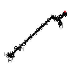 Cc1cc(C2CCC(N3C[C@H](c4cn(CCOCCOCCOCCOCCOCCOCCOCCOCCOCCOCCOCCNC(=O)CCCC[C@@H]5SC[C@@H]6NC(=O)N[C@@H]65)nn4)OCC3Cc3ccc(Cl)cc3)CC2)nn1C